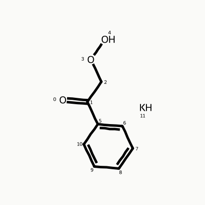 O=C(COO)c1ccccc1.[KH]